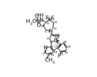 Cc1cnc(C2CC(N3CC[C@@H](NS(C)(=O)=O)C(F)(F)CC3)=NO2)c(-c2c(F)cccc2F)c1